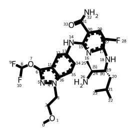 COCCn1nc(OC(F)F)c2cc(Nc3nc(N[C@H](CC(C)C)[C@H](C)N)c(F)cc3C(N)=O)ccc21